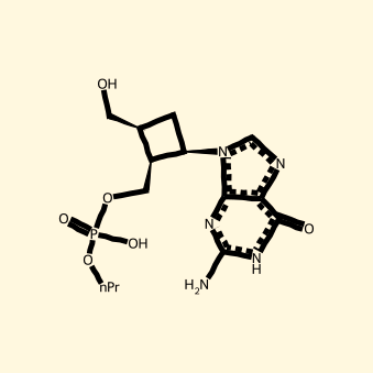 CCCOP(=O)(O)OC[C@H]1[C@@H](CO)C[C@H]1n1cnc2c(=O)[nH]c(N)nc21